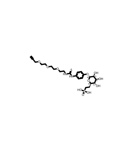 C#CCOCCOCCOCCNC(=S)Nc1ccc(O[C@H]2O[C@H](CCP(=O)(O)O)[C@@H](O)[C@H](O)[C@@H]2O)cc1